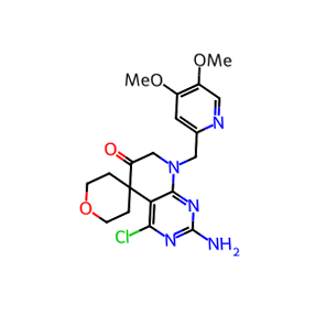 COc1cnc(CN2CC(=O)C3(CCOCC3)c3c(Cl)nc(N)nc32)cc1OC